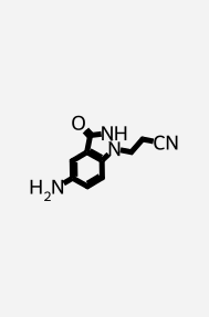 N#CCCn1[nH]c(=O)c2cc(N)ccc21